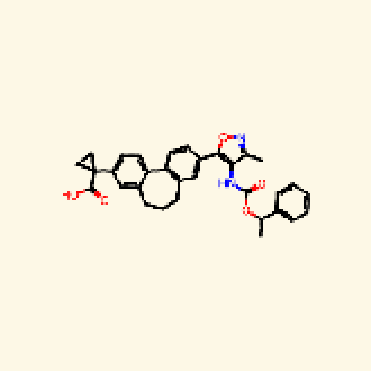 Cc1noc(-c2ccc3c(c2)CCCc2cc(C4(C(=O)O)CC4)ccc2-3)c1NC(=O)OC(C)c1ccccc1